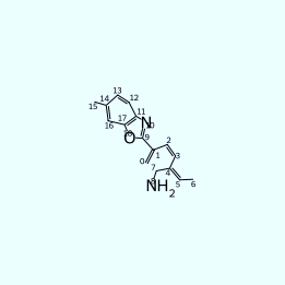 C=C(/C=C\C(=C/C)CN)c1nc2ccc(C)cc2o1